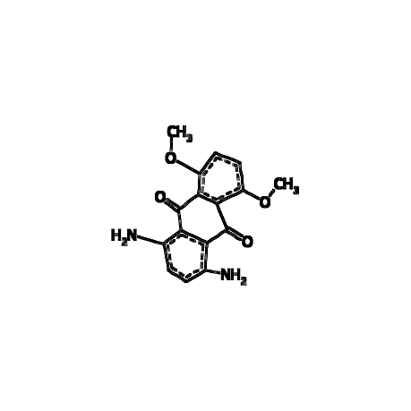 COc1ccc(OC)c2c1C(=O)c1c(N)ccc(N)c1C2=O